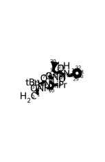 C=CC(=O)N[C@H](C(=O)N1CCC(C(C)C)[C@H]1C(=O)NC(CC1CC1)C(=O)C(=O)NCc1ccccc1)C(C)(C)C